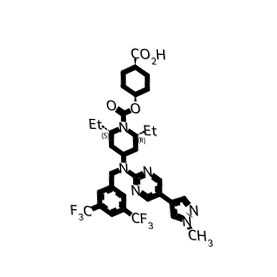 CC[C@@H]1CC(N(Cc2cc(C(F)(F)F)cc(C(F)(F)F)c2)c2ncc(-c3cnn(C)c3)cn2)C[C@H](CC)N1C(=O)O[C@H]1CC[C@@H](C(=O)O)CC1